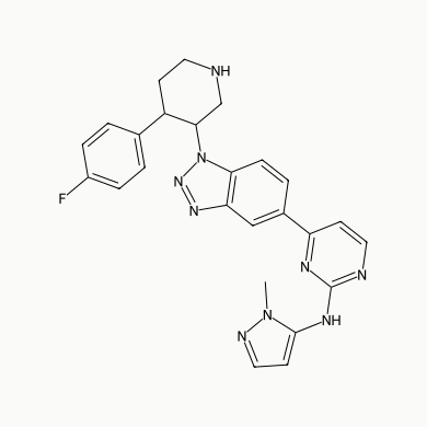 Cn1nccc1Nc1nccc(-c2ccc3c(c2)nnn3C2CNCCC2c2ccc(F)cc2)n1